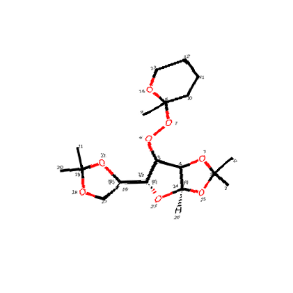 CC1(C)OC2C(OOC3(C)CCCCO3)[C@@H]([C@H]3COC(C)(C)O3)O[C@@H]2O1